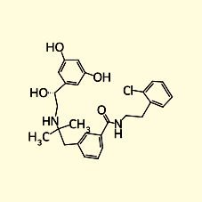 CC(C)(Cc1cccc(C(=O)NCCc2ccccc2Cl)c1)NC[C@H](O)c1cc(O)cc(O)c1